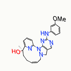 COc1cccc(Nc2ncc3c(n2)N2c4cccc(n4)[C@](C)(O)CC/C=C\CN2C3)c1